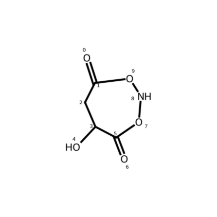 O=C1CC(O)C(=O)ONO1